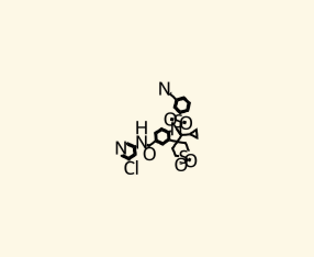 N#Cc1cccc(S(=O)(=O)N2c3ccc(C(=O)Nc4cncc(Cl)c4)cc3C3(CCS(=O)(=O)CC3)C2C2CC2)c1